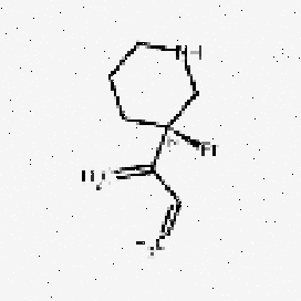 C=CC(=C)[C@]1(CC)CCCNC1